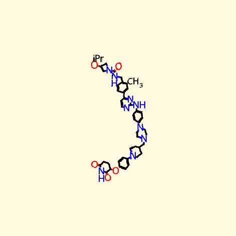 Cc1cc(-c2ccnc(Nc3ccc(N4CCN(CC5CCN(c6ccc(OC7CCC(=O)NC7=O)cc6)CC5)CC4)cc3)n2)ccc1CNC(=O)N1CC(OC(C)C)C1